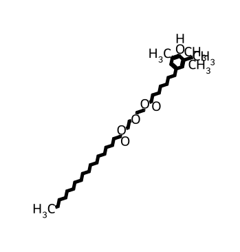 CCCCCCCCCCCCCCCCCC(=O)OCCOCCOC(=O)CCCCCCc1cc(C)c(O)c(C(C)(C)C)c1